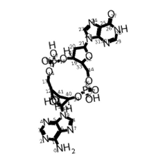 Nc1ncnc2c1ncn2C1OC2COP(=O)(O)O[C@H]3CC(n4cnc5c(=O)[nH]cnc54)OC3COP(=O)(O)O[C@@H]1[C@@H]2O